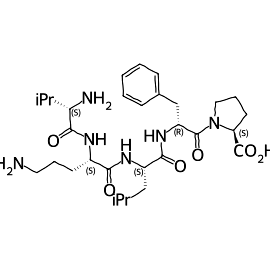 CC(C)C[C@H](NC(=O)[C@H](CCCN)NC(=O)[C@@H](N)C(C)C)C(=O)N[C@H](Cc1ccccc1)C(=O)N1CCC[C@H]1C(=O)O